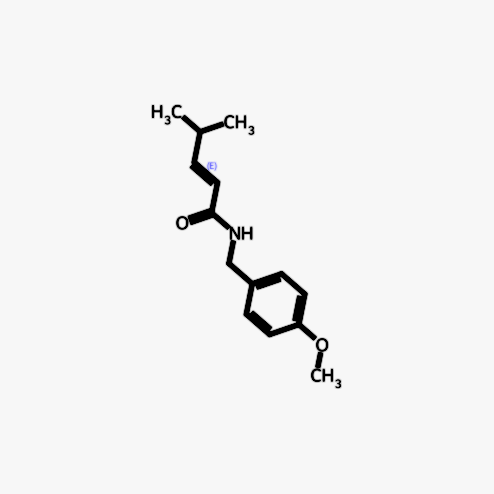 COc1ccc(CNC(=O)/C=C/C(C)C)cc1